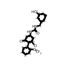 O=C(NCc1cccc(O)c1)Nc1cc(Cl)c(-c2ccccc2OC(F)(F)F)c(Cl)c1